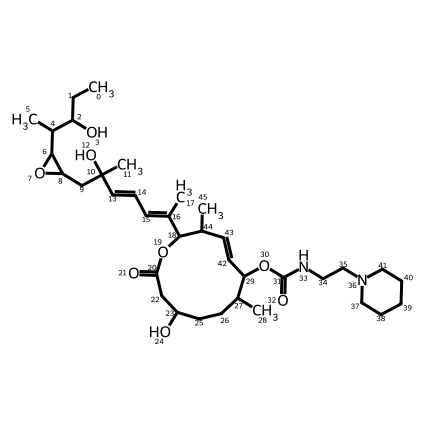 CCC(O)C(C)C1OC1CC(C)(O)/C=C/C=C(\C)C1OC(=O)CC(O)CCC(C)C(OC(=O)NCCN2CCCCC2)/C=C/C1C